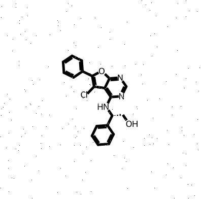 OC[C@@H](Nc1ncnc2oc(-c3ccccc3)c(Cl)c12)c1ccccc1